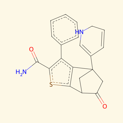 NC(=O)c1sc2c(c1-c1ccccc1)C1(C3=CNCC=C3)CC(=O)C2C1